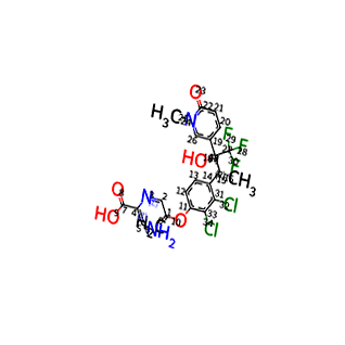 C=C(/C=N\C(=C/N)C(=O)O)Oc1ccc([C@@H](C)[C@@](O)(c2ccc(=O)n(C)c2)C(F)(F)F)c(Cl)c1Cl